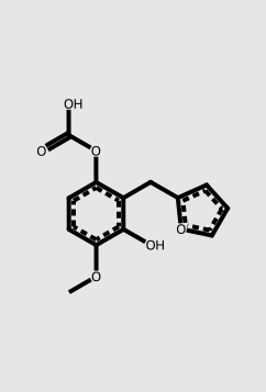 COc1ccc(OC(=O)O)c(Cc2ccco2)c1O